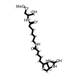 COOCC(CO)NC(=O)CCCCCNC(=O)CCCCC1SCC2NC(O)NC21